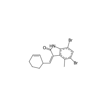 Cc1c(Br)cc(Br)c2c1C(=CC1C=CCCC1)C(=O)N2